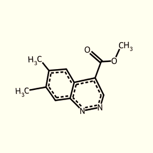 COC(=O)c1cnnc2cc(C)c(C)cc12